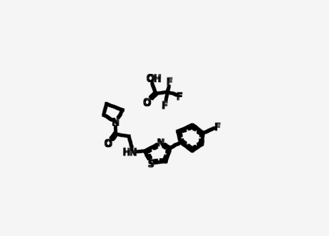 O=C(CNc1nc(-c2ccc(F)cc2)cs1)N1CCC1.O=C(O)C(F)(F)F